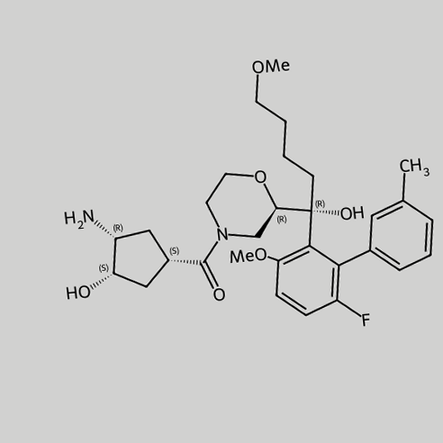 COCCCC[C@@](O)(c1c(OC)ccc(F)c1-c1cccc(C)c1)[C@H]1CN(C(=O)[C@H]2C[C@@H](N)[C@@H](O)C2)CCO1